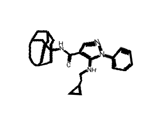 O=C(NC12CC3CC(CC(C3)C1)C2)c1cnn(-c2ccccc2)c1NCC1CC1